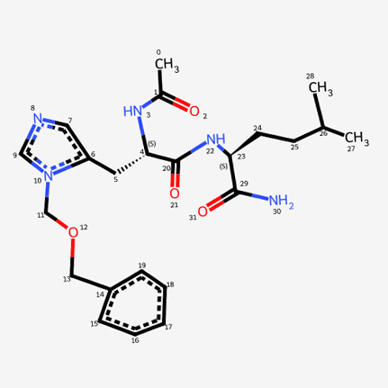 CC(=O)N[C@@H](Cc1cncn1COCc1ccccc1)C(=O)N[C@@H](CCC(C)C)C(N)=O